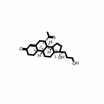 CC(=S)[C@@H]1CC2=CC(=O)CC[C@]2(C)[C@H]2CC[C@@]3(C)[C@@H](CC[C@@]3(O)CCCO)[C@H]12